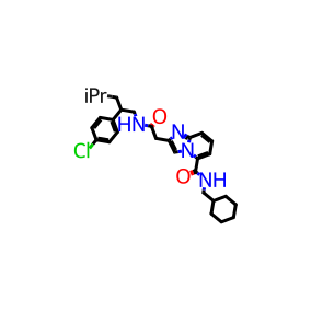 CC(C)CC(CNC(=O)Cc1cn2c(C(=O)NCC3CCCCC3)cccc2n1)c1ccc(Cl)cc1